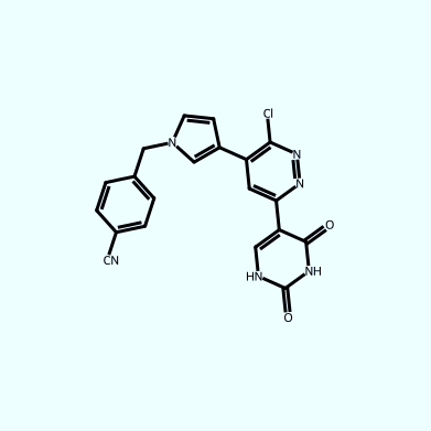 N#Cc1ccc(Cn2ccc(-c3cc(-c4c[nH]c(=O)[nH]c4=O)nnc3Cl)c2)cc1